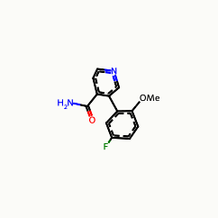 COc1ccc(F)cc1-c1cnccc1C(N)=O